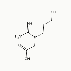 N=C(N)N(CCCO)CC(=O)O